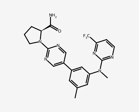 Cc1cc(-c2cnc(N3CCC[C@H]3C(N)=O)nc2)cc(N(C)c2nccc(C(F)(F)F)n2)c1